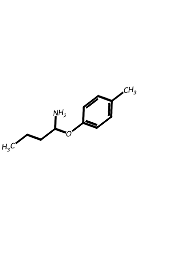 CCCC(N)Oc1ccc(C)cc1